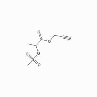 C#CCOC(=O)C(C)OS(C)(=O)=O